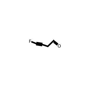 O=[C]CC#CF